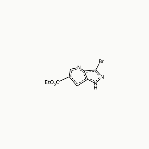 CCOC(=O)c1cnc2c(Br)n[nH]c2c1